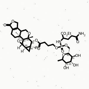 CCOC(=O)C(CCC(N)=O)NP(=O)(OCCCC(=O)O[C@@H]1[C@@]2(C(C)C)C[C@H]2[C@@H]2O[C@@]23[C@@]2(C)CCC4=C(COC4=O)C2CO[C@]13C)OC[C@H]1OC(C)[C@@H](O)[C@@H](O)[C@@H]1O